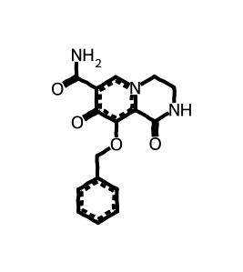 NC(=O)c1cn2c(c(OCc3ccccc3)c1=O)C(=O)NCC2